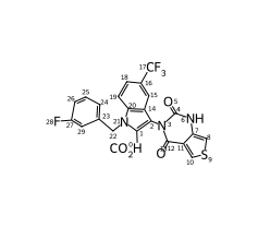 O=C(O)c1c(-n2c(=O)[nH]c3cscc3c2=O)c2cc(C(F)(F)F)ccc2n1Cc1cccc(F)c1